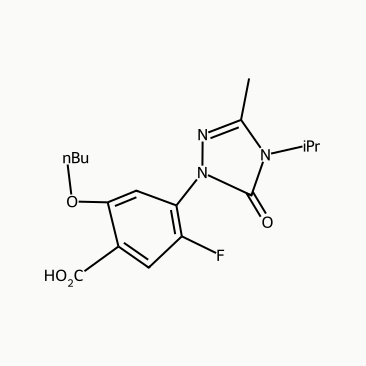 CCCCOc1cc(-n2nc(C)n(C(C)C)c2=O)c(F)cc1C(=O)O